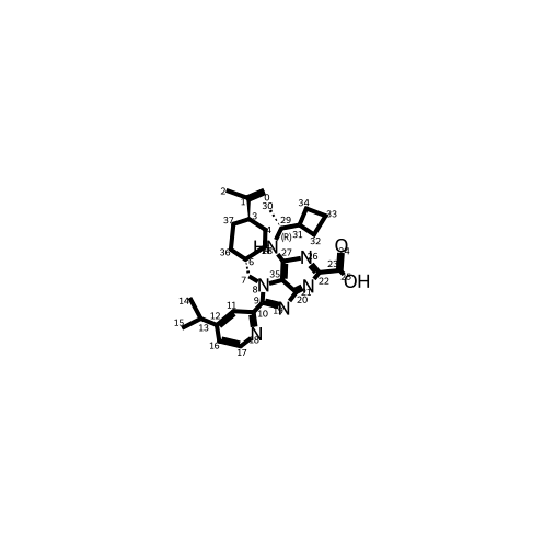 C=C(C)[C@H]1CC[C@H](Cn2c(-c3cc(C(C)C)ccn3)nc3nc(C(=O)O)nc(N[C@H](C)C4CCC4)c32)CC1